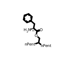 CCCCCC(CCCCC)COC(=O)[C@@H](N)Cc1ccccc1